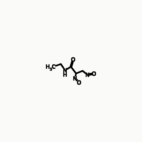 CCNC(=O)C(CN=O)N=O